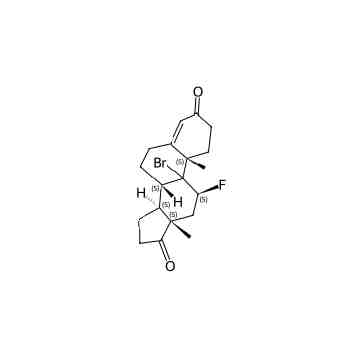 C[C@]12CCC(=O)C=C1CC[C@H]1[C@@H]3CCC(=O)[C@@]3(C)C[C@H](F)C12Br